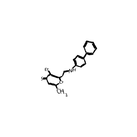 CCc1c(CNc2ccc(-c3ccccc3)cc2)oc(C)cc1=S